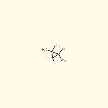 CCC1(C)C(C)(C)C1(F)F